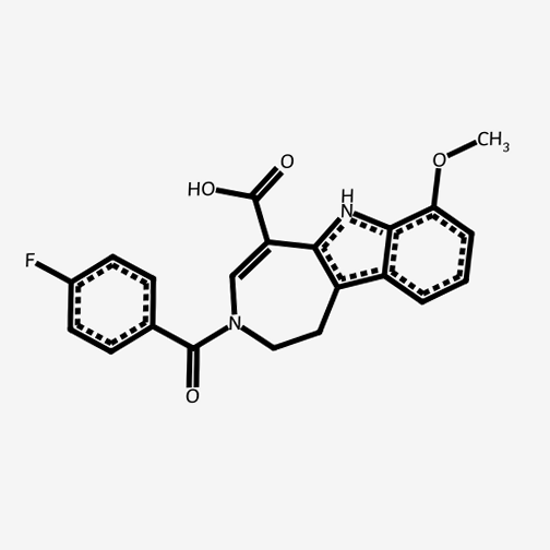 COc1cccc2c3c([nH]c12)C(C(=O)O)=CN(C(=O)c1ccc(F)cc1)CC3